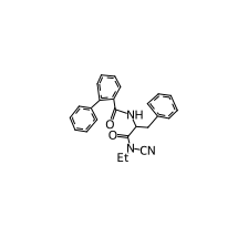 CCN(C#N)C(=O)C(Cc1ccccc1)NC(=O)c1ccccc1-c1ccccc1